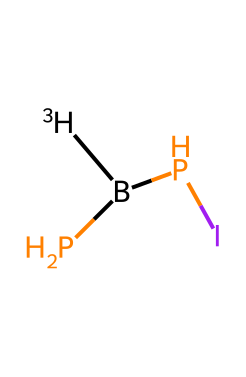 [3H]B(P)PI